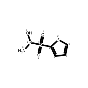 NN(O)S(=O)(=O)c1cccs1